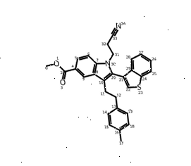 COC(=O)c1ccc2c(c1)c(CCc1ccc(C)cc1)c(-c1csc3ccccc13)n2CCC#N